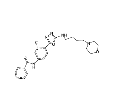 O=C(Nc1ccc(-c2nnc(NCCCCN3CCOCC3)o2)c(Cl)c1)c1ccccc1